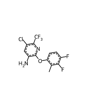 Cc1c(Oc2nc(C(F)(F)F)c(Cl)cc2N)ccc(F)c1F